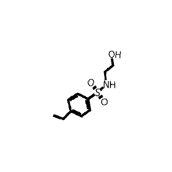 CCc1ccc(S(=O)(=O)NCCO)cc1